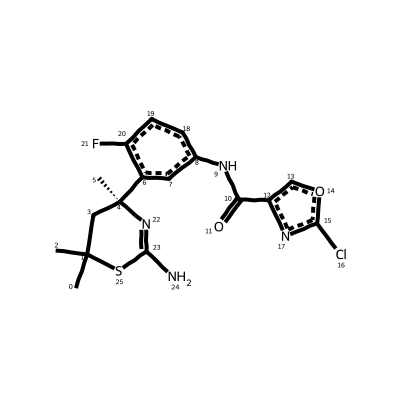 CC1(C)C[C@@](C)(c2cc(NC(=O)c3coc(Cl)n3)ccc2F)N=C(N)S1